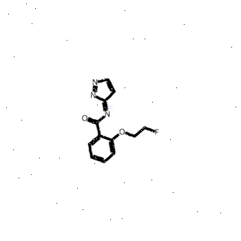 O=C(/N=C1/C=CN=N1)c1ccccc1OCCF